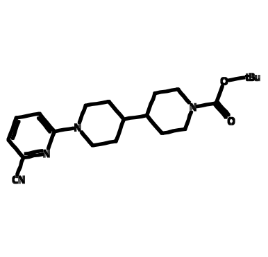 CC(C)(C)OC(=O)N1CCC(C2CCN(c3cccc(C#N)n3)CC2)CC1